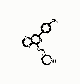 FC(F)(F)c1ccc(-c2cc3nccnc3c(OC[C@H]3CCCNC3)n2)cc1